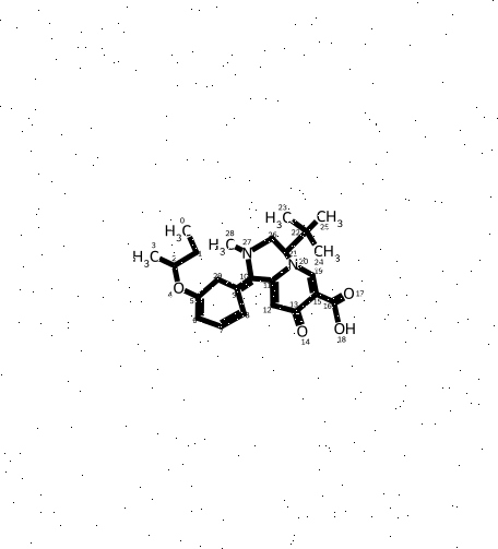 CCC(C)OC1=CC=C/C(=C2\c3cc(=O)c(C(=O)O)cn3C(C(C)(C)C)CN2C)C1